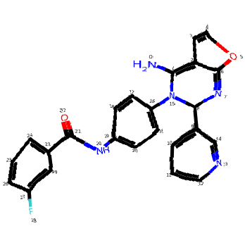 NC1=c2ccoc2=NC(c2cccnc2)N1c1ccc(NC(=O)c2cccc(F)c2)cc1